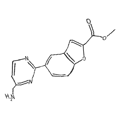 COC(=O)c1cc2cc(-c3nccc(N)n3)ccc2o1